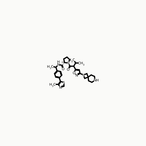 Cc1ncsc1-c1ccc(C(C)NC(=O)[C@@H]2CCCN2C(=O)C(c2cc(N3CC4(CCNCC4)C3)no2)C(C)C)cc1